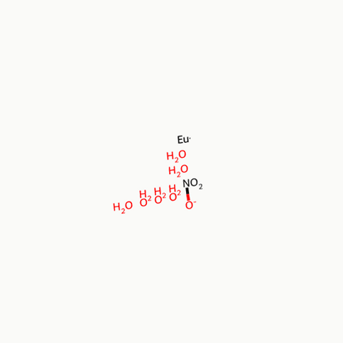 O.O.O.O.O.O.O=[N+]([O-])[O-].[Eu]